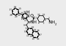 NC[C@H]1CC[C@H](C(=O)N[C@@H](Cc2ccc3ccccc3c2)c2nc(-c3ccccc3)c[nH]2)CC1